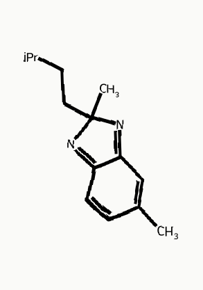 Cc1ccc2c(c1)=NC(C)(CCC(C)C)N=2